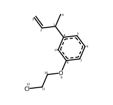 [CH2]C(C=C)c1cccc(OCCCl)c1